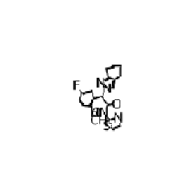 COc1ccc(F)cc1[C@H](C(=O)Nc1nccs1)n1cc2ccccc2n1